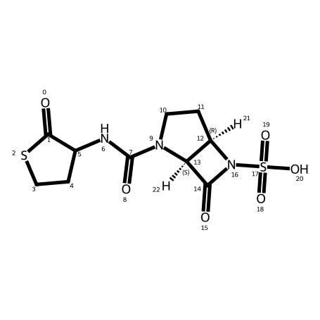 O=C1SCCC1NC(=O)N1CC[C@@H]2[C@H]1C(=O)N2S(=O)(=O)O